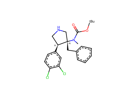 CN(C(=O)OC(C)(C)C)[C@@]1(Cc2ccccc2)CNC[C@@H]1c1ccc(Cl)c(Cl)c1